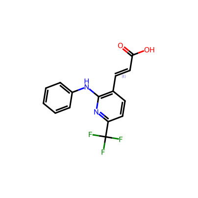 O=C(O)/C=C/c1ccc(C(F)(F)F)nc1Nc1ccccc1